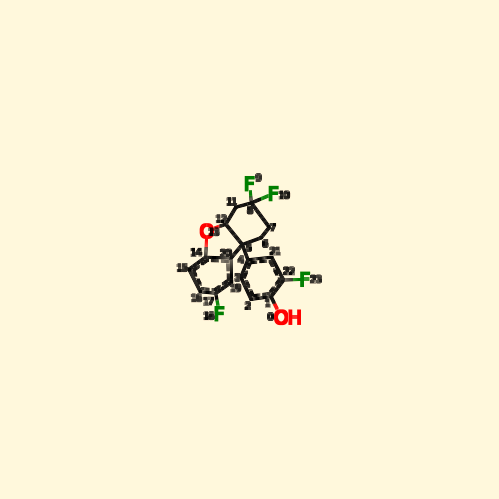 Oc1ccc(C23CCC(F)(F)CC2Oc2ccc(F)cc23)cc1F